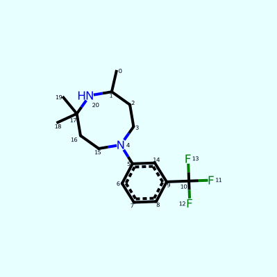 CC1CCN(c2cccc(C(F)(F)F)c2)CCC(C)(C)N1